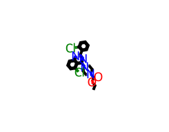 CCOC(=O)N1CCN(c2nc(-c3ccccc3Cl)nc3cccc(Cl)c23)CC1